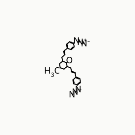 CC1CC(CC=Cc2ccc(N=[N+]=[N-])cc2)C(=O)C(CC=Cc2ccc(N=[N+]=[N-])cc2)C1